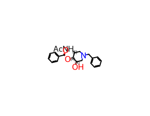 CC(=O)N[C@H]1CN(Cc2ccccc2)C[C@@H](O)[C@@H]1OC(=O)c1ccccc1